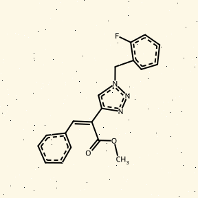 COC(=O)C(=Cc1ccccc1)c1cn(Cc2ccccc2F)nn1